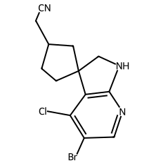 N#CCC1CCC2(CNc3ncc(Br)c(Cl)c32)C1